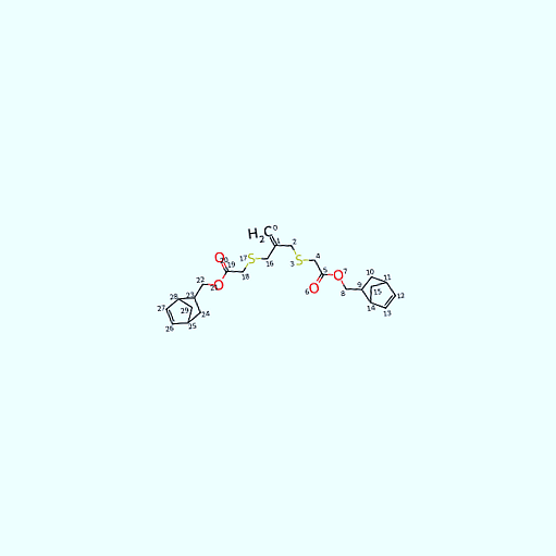 C=C(CSCC(=O)OCC1CC2C=CC1C2)CSCC(=O)OCC1CC2C=CC1C2